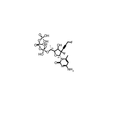 Cc1cc(N)nc(=O)n1[C@@H]1OC([C@@H](C)OP(=O)(O)OP(=O)(O)OP(=O)(O)O)C(O)[C@]1(F)C#CCF